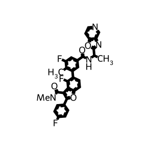 CNC(=O)c1c(-c2ccc(F)cc2)oc2ccc(-c3cc(C(=O)NC(C)c4nc5cnccc5o4)cc(F)c3C)c(F)c12